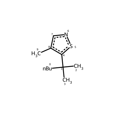 CCCCC(C)(C)c1sncc1C